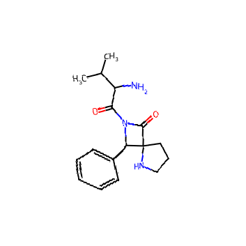 CC(C)C(N)C(=O)N1C(=O)C2(CCCN2)C1c1ccccc1